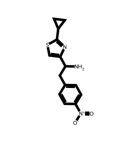 NC(Cc1ccc([N+](=O)[O-])cc1)c1csc(C2CC2)n1